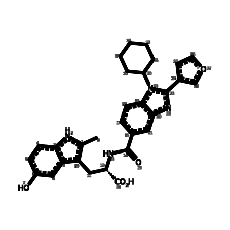 Cc1[nH]c2ccc(O)cc2c1C[C@H](NC(=O)c1ccc2c(c1)nc(-c1ccoc1)n2C1CCCCC1)C(=O)O